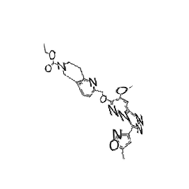 CCOC(=O)N1CCc2nc(COc3nn4c(-c5cc(C)on5)nnc4cc3OC)ccc2C1